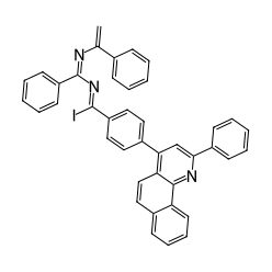 C=C(/N=C(\N=C(/I)c1ccc(-c2cc(-c3ccccc3)nc3c2ccc2ccccc23)cc1)c1ccccc1)c1ccccc1